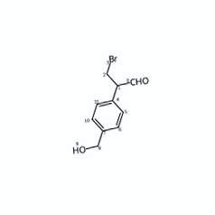 O=CC(CBr)c1ccc(CO)cc1